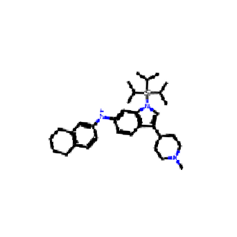 CC(C)[Si](C(C)C)(C(C)C)n1cc(C2CCN(C)CC2)c2ccc(Nc3ccc4c(c3)CCCC4)cc21